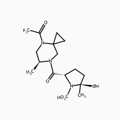 C[C@H]1CN(C(=O)C(F)(F)F)C2(CC2)CN1C(=O)[C@@H]1CC[C@@](C)(C(C)(C)C)N1C(=O)O